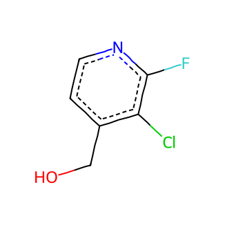 OCc1ccnc(F)c1Cl